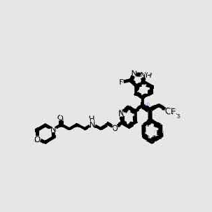 O=C(CCCNCCOc1ccc(/C(=C(/CC(F)(F)F)c2ccccc2)c2ccc3[nH]nc(F)c3c2)cn1)N1CCOCC1